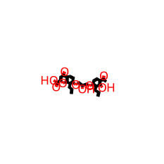 C=CCc1c(OCC(O)COc2ccc3c(=O)cc(C(=O)O)oc3c2CC=C)ccc(C(C)=O)c1O